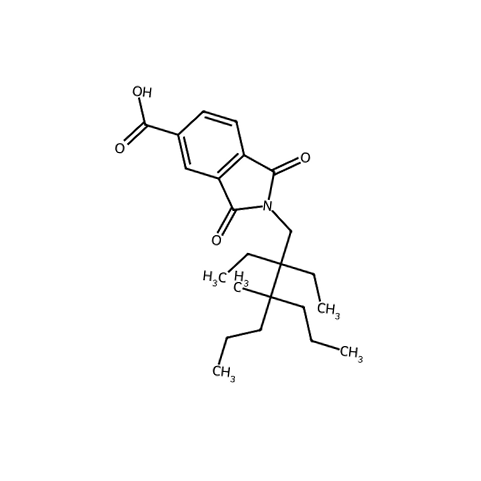 CCCC(C)(CCC)C(CC)(CC)CN1C(=O)c2ccc(C(=O)O)cc2C1=O